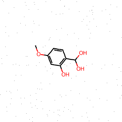 COc1ccc(C(O)O)c(O)c1